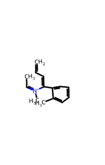 C=C/C=C(c1ccccc1C)\[N+](C)=C/C